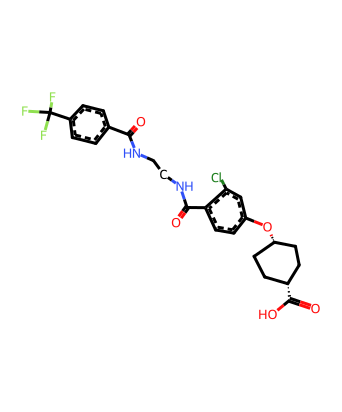 O=C(NCCNC(=O)c1ccc(O[C@H]2CC[C@@H](C(=O)O)CC2)cc1Cl)c1ccc(C(F)(F)F)cc1